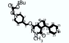 Cn1nc(OCC2CCN(OC(=O)OC(C)(C)C)CC2)c2scc(-c3ccncc3)c2c1=O